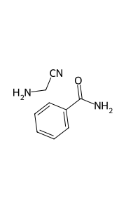 N#CCN.NC(=O)c1ccccc1